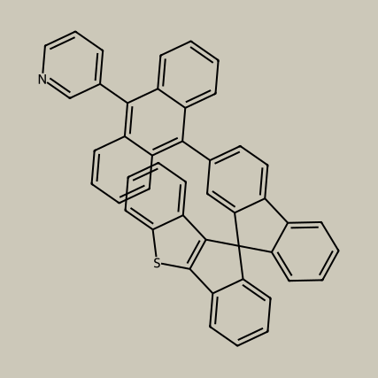 c1cncc(-c2c3ccccc3c(-c3ccc4c(c3)C3(c5ccccc5-4)c4ccccc4-c4sc5ccccc5c43)c3ccccc23)c1